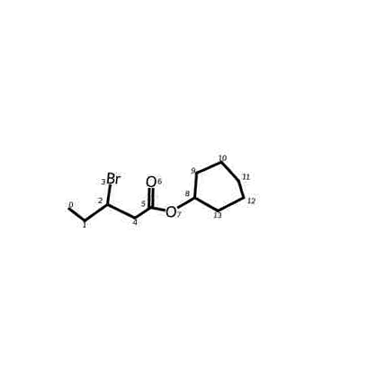 CCC(Br)CC(=O)OC1CCCCC1